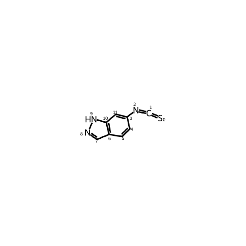 S=C=Nc1ccc2cn[nH]c2c1